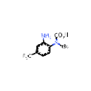 CC(C)(C)N(C(=O)O)c1ccc(C(F)(F)F)cc1N